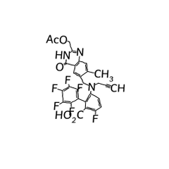 C#CCN(Cc1cc2c(=O)[nH]c(COC(C)=O)nc2cc1C)c1ccc(F)c(C(=O)O)c1-c1c(F)c(F)c(F)c(F)c1F